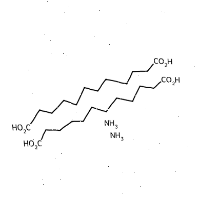 N.N.O=C(O)CCCCCCCCCCC(=O)O.O=C(O)CCCCCCCCCCC(=O)O